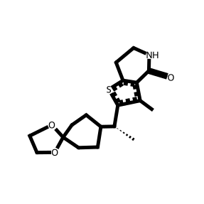 Cc1c([C@H](C)C2CCC3(CC2)OCCO3)sc2c1C(=O)NCC2